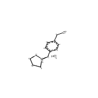 Cl.ClCc1ccc(CN2CCCC2)cc1